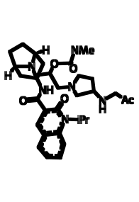 CNC(=O)OC(CN1CCC(NCC(C)=O)C1)CN1[C@@H]2CC[C@H]1CC(NC(=O)c1cc3ccccc3n(C(C)C)c1=O)C2